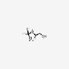 OCC(Cl)OC(F)(F)Cl